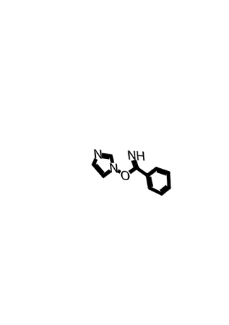 N=C(On1ccnc1)c1ccccc1